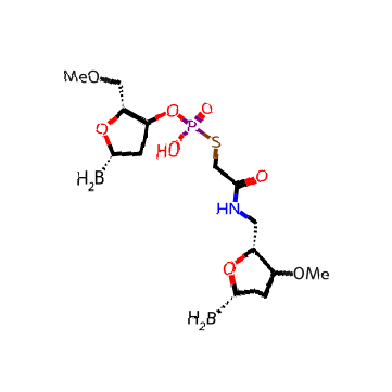 B[C@H]1CC(OC)[C@@H](CNC(=O)CSP(=O)(O)OC2C[C@H](B)O[C@@H]2COC)O1